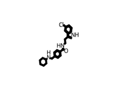 O=C(NCCc1c[nH]c2ccc(Cl)cc12)c1ccc(CNC2CCCCC2)cc1